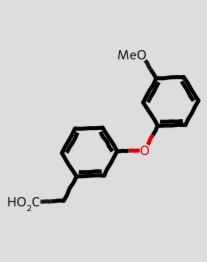 COc1cccc(Oc2cccc(CC(=O)O)c2)c1